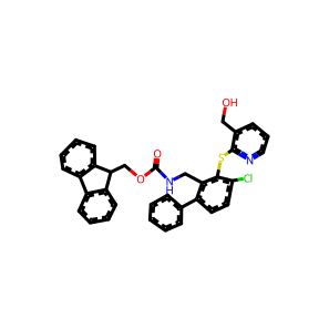 O=C(NCc1c(-c2ccccc2)ccc(Cl)c1Sc1ncccc1CO)OCC1c2ccccc2-c2ccccc21